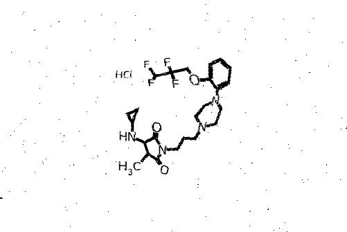 CC1C(=O)N(CCCN2CCN(c3ccccc3OCC(F)(F)C(F)F)CC2)C(=O)C1NC1CC1.Cl